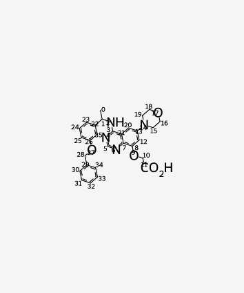 CC(Nc1ncnc2c(OCC(=O)O)cc(N3CCOCC3)cc12)c1cccc(OCc2ccccc2)c1